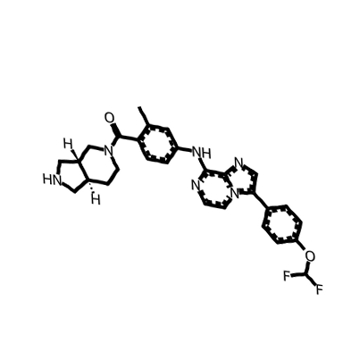 Cc1cc(Nc2nccn3c(-c4ccc(OC(F)F)cc4)cnc23)ccc1C(=O)N1CC[C@H]2CNC[C@@H]2C1